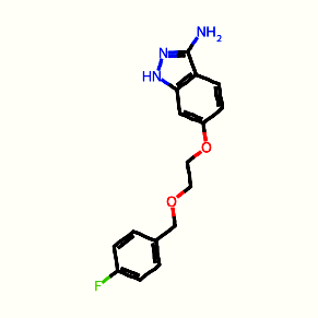 Nc1n[nH]c2cc(OCCOCc3ccc(F)cc3)ccc12